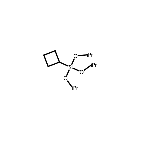 CC(C)O[Si](OC(C)C)(OC(C)C)C1CCC1